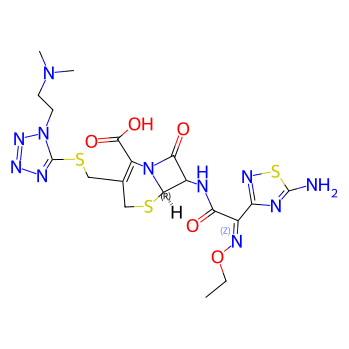 CCO/N=C(\C(=O)NC1C(=O)N2C(C(=O)O)=C(CSc3nnnn3CCN(C)C)CS[C@H]12)c1nsc(N)n1